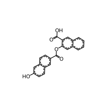 O=C(Oc1cc2ccccc2cc1C(=O)O)c1ccc2cc(O)ccc2c1